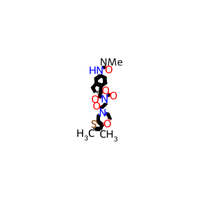 CNC(=O)Nc1ccc2c(c1)CC[C@@]21OC(=O)N(CC(=O)N2CCOc3c(sc(C)c3C)C2)C1=O